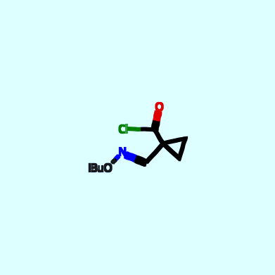 CC(C)CON=CC1(C(=O)Cl)CC1